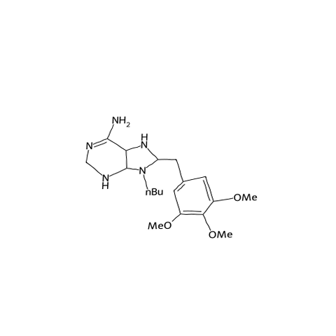 CCCCN1C(Cc2cc(OC)c(OC)c(OC)c2)NC2C(N)=NCNC21